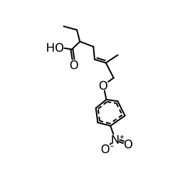 CCC(CC=C(C)COc1ccc([N+](=O)[O-])cc1)C(=O)O